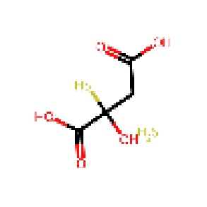 O=C(O)CC(O)(S)C(=O)O.S